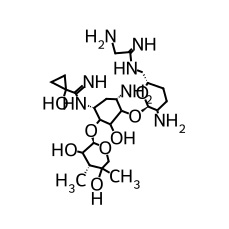 C[C@@H]1C(O)[C@@H](OC2C(O)C(O[C@H]3O[C@H](CNC(=N)CN)CCC3N)[C@@H](N)C[C@H]2NC(=N)C2(O)CC2)OCC1(C)O